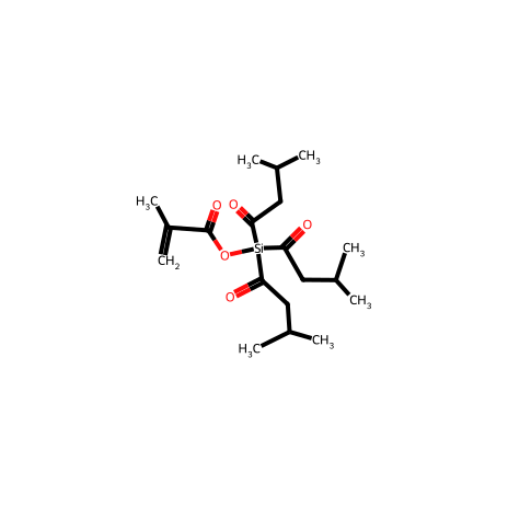 C=C(C)C(=O)O[Si](C(=O)CC(C)C)(C(=O)CC(C)C)C(=O)CC(C)C